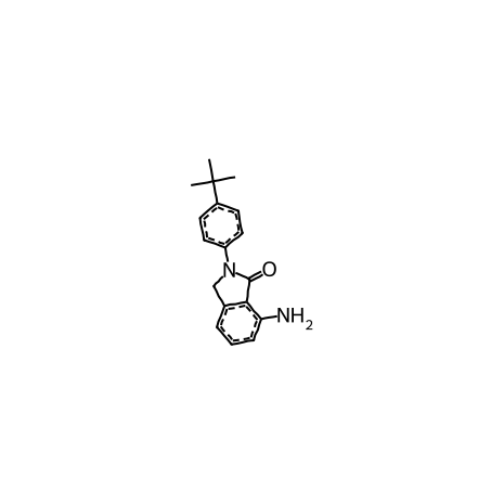 CC(C)(C)c1ccc(N2Cc3cccc(N)c3C2=O)cc1